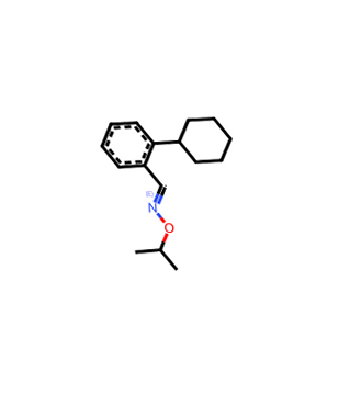 CC(C)O/N=[C]/c1ccccc1C1CCCCC1